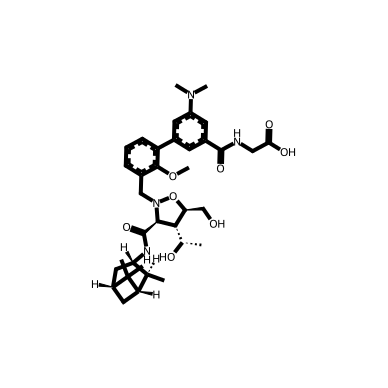 COc1c(CN2O[C@@H](CO)[C@H]([C@H](C)O)[C@H]2C(=O)N[C@H]2C[C@H]3C[C@@H]([C@@H]2C)C3(C)C)cccc1-c1cc(C(=O)NCC(=O)O)cc(N(C)C)c1